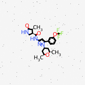 C[C@@H]1C[C@@H](n2nc(NC(=O)[C@H]3CNC(=O)[C@@H]3C)cc2-c2cccc(OC(F)(F)F)c2)C[C@H](C)O1